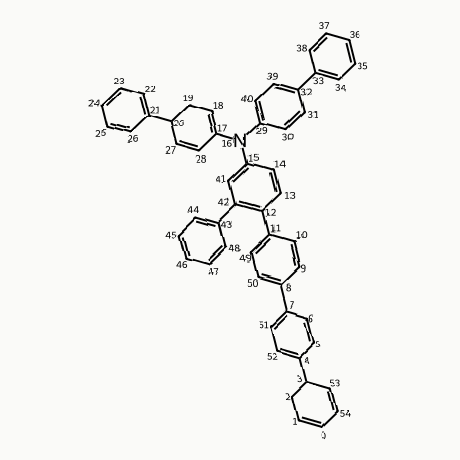 C1=CCC(c2ccc(-c3ccc(-c4ccc(N(C5=CCC(c6ccccc6)C=C5)c5ccc(-c6ccccc6)cc5)cc4-c4ccccc4)cc3)cc2)C=C1